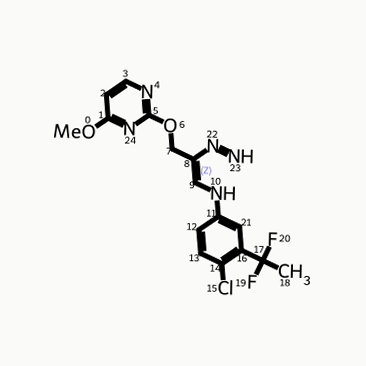 COc1ccnc(OC/C(=C/Nc2ccc(Cl)c(C(C)(F)F)c2)N=N)n1